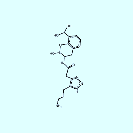 NCCCc1[nH]nnc1CC(=O)N[C@H]1Cc2cccc(C(O)O)c2OB1O